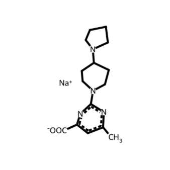 Cc1cc(C(=O)[O-])nc(N2CCC(N3CCCC3)CC2)n1.[Na+]